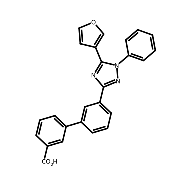 O=C(O)c1cccc(-c2cccc(-c3nc(-c4ccoc4)n(-c4ccccc4)n3)c2)c1